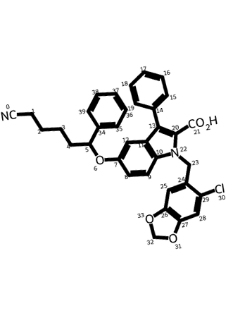 N#CCCCCC(Oc1ccc2c(c1)c(-c1ccccc1)c(C(=O)O)n2Cc1cc2c(cc1Cl)OCO2)c1ccccc1